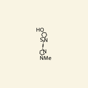 CNc1ccc(C#Cc2nc3ccc(O)cc3s2)nc1